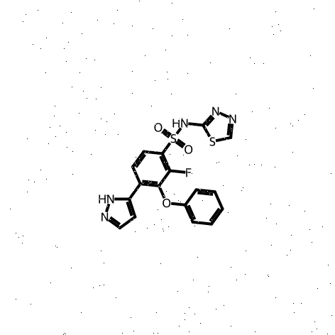 O=S(=O)(Nc1nncs1)c1ccc(-c2ccn[nH]2)c(Oc2ccccc2)c1F